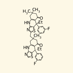 CC[C@@]1(c2cccc(F)c2)C2=C(CC(C)(Cc3nc4c(s3)[C@@](CC)(c3cccc(F)c3)C3=C(CC(C)(C)CC3=O)N4)CC2=O)Nc2ncsc21